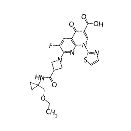 CCOCC1(NC(=O)C2CN(c3nc4c(cc3F)c(=O)c(C(=O)O)cn4-c3nccs3)C2)CC1